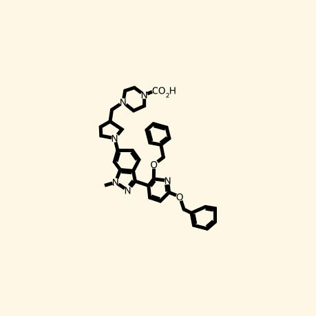 Cn1nc(-c2ccc(OCc3ccccc3)nc2OCc2ccccc2)c2ccc(N3CCC(CN4CCN(C(=O)O)CC4)C3)cc21